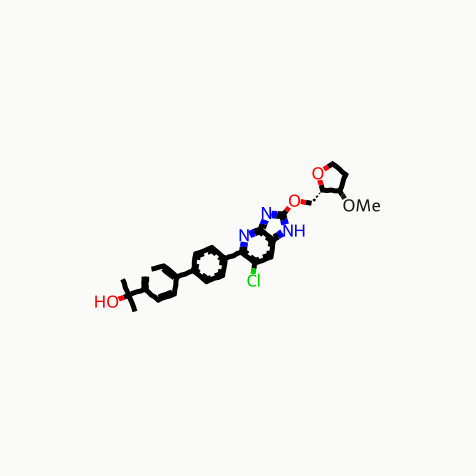 C=C(/C=C\C(=C/C)c1ccc(-c2nc3nc(OC[C@@H]4OCCC4OC)[nH]c3cc2Cl)cc1)C(C)(C)O